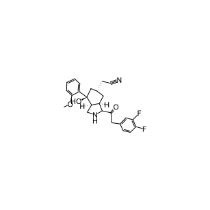 COc1ccccc1[C@]1(O)C[C@H](CC#N)C[C@H]2C(C(=O)Cc3ccc(F)c(F)c3)NC[C@H]21